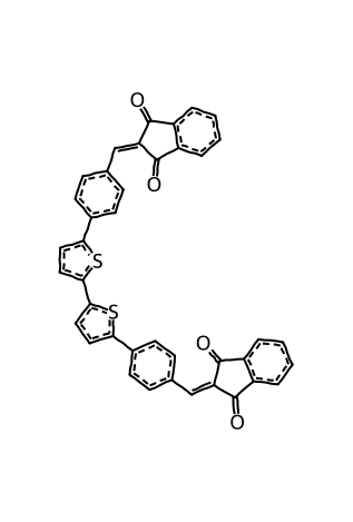 O=C1C(=Cc2ccc(-c3ccc(-c4ccc(-c5ccc(C=C6C(=O)c7ccccc7C6=O)cc5)s4)s3)cc2)C(=O)c2ccccc21